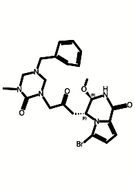 CO[C@H]1NC(=O)c2ccc(Br)n2[C@@H]1CC(=O)CN1CN(Cc2ccccc2)CN(C)C1=O